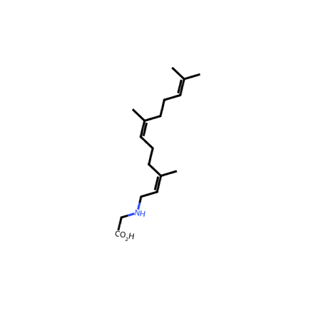 CC(C)=CCCC(C)=CCCC(C)=CCNCC(=O)O